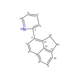 c1ccc(-c2ccc3cccc4c3c2CC4)nc1